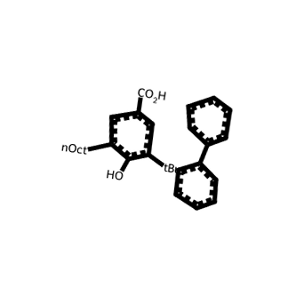 CCCCCCCCc1cc(C(=O)O)cc(C(C)(C)C)c1O.c1ccc(-c2ccccc2)cc1